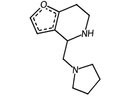 c1cc2c(o1)CCNC2CN1CCCC1